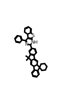 CC1(C)C2=CC3c4ccccc4C4(CCCCC4)C3C=C2c2ccc(C3N=C(c4ccccc4)C4=C(N3)SC3=CC=CCC34)cc21